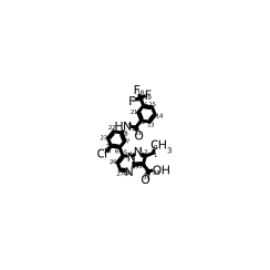 CCc1nn2c(-c3cc(NC(=O)c4cccc(C(F)(F)F)c4)ccc3Cl)ccnc2c1C(=O)O